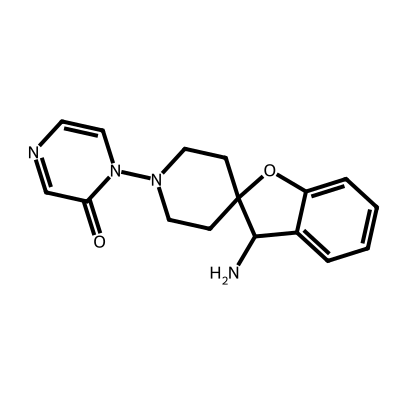 NC1c2ccccc2OC12CCN(n1ccncc1=O)CC2